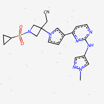 Cn1cc(Nc2nccc(-c3ccn(C4(CC#N)CN(S(=O)(=O)C5CC5)C4)c3)n2)cn1